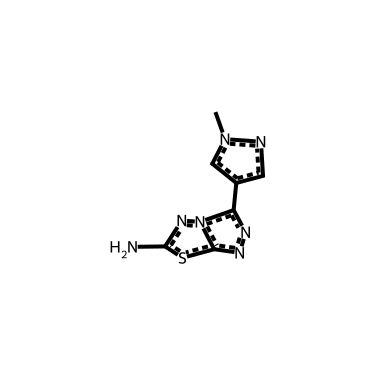 Cn1cc(-c2nnc3sc(N)nn23)cn1